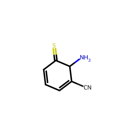 N#CC1=CC=CC(=S)C1N